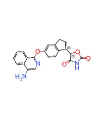 Nc1cnc(Oc2ccc3c(c2)CC[C@H]3[C@H]2OC(=O)NC2=O)c2ccccc12